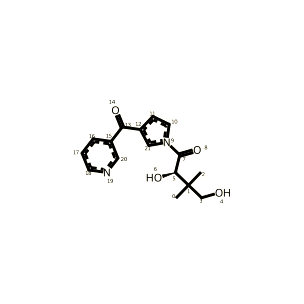 CC(C)(CO)[C@@H](O)C(=O)n1ccc(C(=O)c2cccnc2)c1